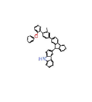 Cc1cc(-c2ccc3c(c2)C(c2ccc4[nH]c5ccccc5c4c2)c2ccccc2-3)ccc1-c1ccccc1Oc1ccccc1